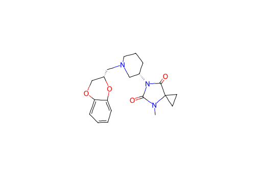 CN1C(=O)N([C@H]2CCCN(C[C@H]3COc4ccccc4O3)C2)C(=O)C12CC2